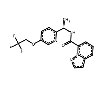 C[C@@H](NC(=O)c1cccc2ccnn12)c1ccc(OCC(F)(F)F)cn1